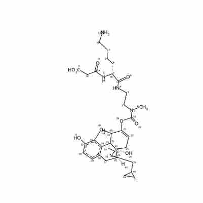 CN(CCNC(=O)[C@@H](CCCCN)NC(=O)CC(=O)O)C(=O)OC1=CC[C@@]2(O)[C@H]3Cc4ccc(O)c5c4[C@@]2(CCN3CC2CC2)[C@H]1O5